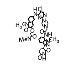 CNC(=O)COc1cc2cc(Nc3nc(N4CCN(CC(=O)Nc5cccc6c(C7CCC(=O)NC7=O)nn(C)c56)CC4)ncc3Cl)ccc2n(C)c1=O